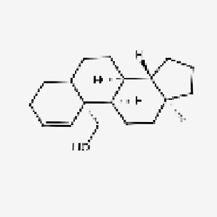 C[C@@]12CCC[C@H]1[C@@H]1CCC3CCC=C[C@]3(CO)[C@@H]1CC2